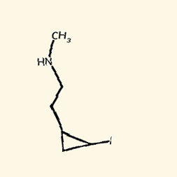 CNCCC1CC1I